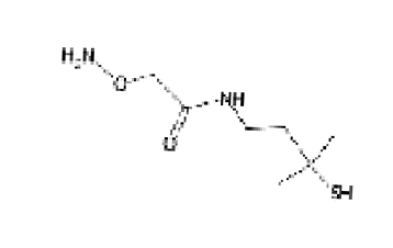 CC(C)(S)CCNC(=O)CON